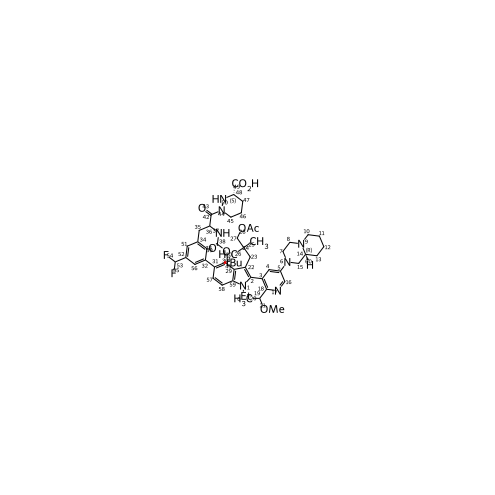 CCn1c(-c2cc(N3CCN4CCCC[C@@H]4C3)cnc2C(C)OC)c(CC(C)(C)COC(C)=O)c2cc(-c3cc(CC(NC(=O)OC(C)(C)C)C(=O)N4CCC[C@@H](C(=O)O)N4)cc(C(F)F)c3)ccc21